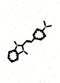 CN(C)c1ccc(C=CC2N(C)c3ccccc3N2C)cc1